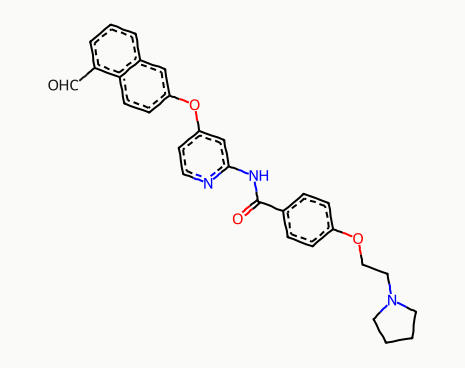 O=Cc1cccc2cc(Oc3ccnc(NC(=O)c4ccc(OCCN5CCCC5)cc4)c3)ccc12